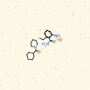 NC1=N[S+]([O-])Nc2cccc(CC[C@H]3CCCN(C(=O)C4CCCCC4)C3)c21